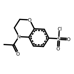 CC(=O)N1CCOc2cc(S(=O)(=O)Cl)ccc21